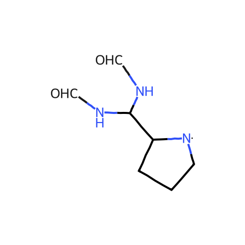 O=CNC(NC=O)C1CCC[N]1